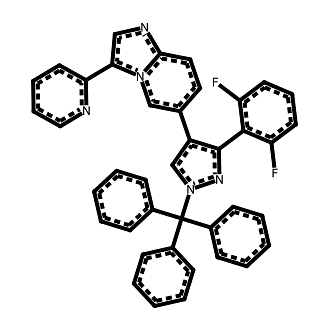 Fc1cccc(F)c1-c1nn(C(c2ccccc2)(c2ccccc2)c2ccccc2)cc1-c1ccc2ncc(-c3ccccn3)n2c1